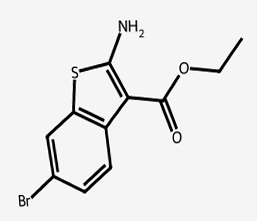 CCOC(=O)c1c(N)sc2cc(Br)ccc12